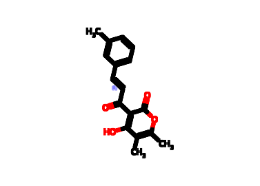 Cc1cccc(/C=C/C(=O)c2c(O)c(C)c(C)oc2=O)c1